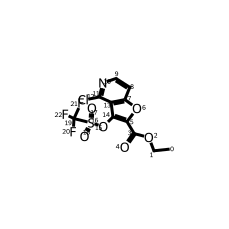 CCOC(=O)c1oc2ccnc(Cl)c2c1OS(=O)(=O)C(F)(F)F